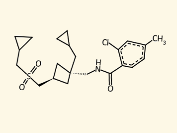 Cc1ccc(C(=O)NC[C@]2(CC3CC3)C[C@@H](CS(=O)(=O)CC3CC3)C2)c(Cl)c1